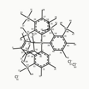 CC1=C(C)[C]([Ti+3])([Si](c2cc(C)c(C)c([Si](C)(C)C)c2[Si](C)(C)C)(c2cc(C)c(C)c([Si](C)(C)C)c2[Si](C)(C)C)c2cc(C)c(C)c([Si](C)(C)C)c2[Si](C)(C)C)C(C)=C1C.[Cl-].[Cl-].[Cl-]